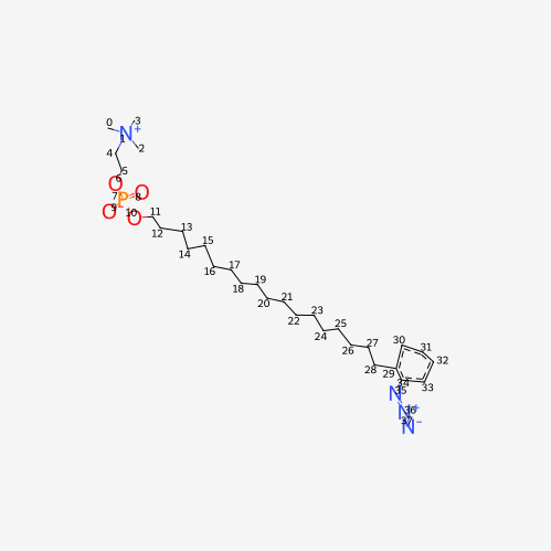 C[N+](C)(C)CCOP(=O)([O-])OCCCCCCCCCCCCCCCCCCc1ccccc1N=[N+]=[N-]